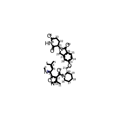 C/N=C(\C=C(C)C)c1onc(C)c1C(=O)N1CCCC[C@H]1COc1ccc2c(c1)CN(C1CCC(=O)NC1=O)C2=O